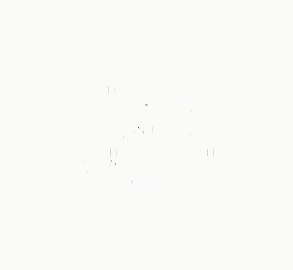 C=C(/C=C\C(C)C/C=C\NC)NC